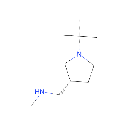 CNC[C@H]1CCN(C(C)(C)C)C1